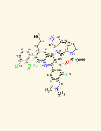 COC(=O)N1CCC[C@@H]1c1cc2c(-c3ccc(CN(C)C)c(F)c3F)nc3c(F)c(-c4cccc(Cl)c4Cl)c(CCC#N)cc3c2n1[C@@H]1CNC[C@H]1C